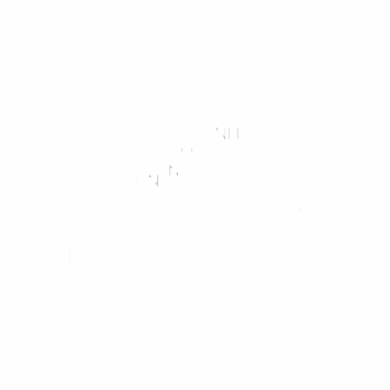 NC(=O)c1cc(C2OCCO2)ccc1-c1cc(C2=CCC(F)C=C2)[nH]n1